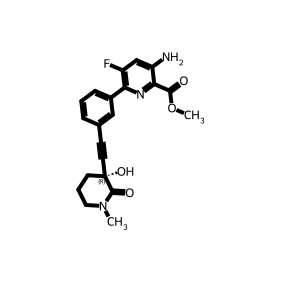 COC(=O)c1nc(-c2cccc(C#C[C@]3(O)CCCN(C)C3=O)c2)c(F)cc1N